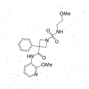 COCCNS(=O)(=O)N1CC(C(=O)Nc2cccnc2OC)(c2ccccc2)C1